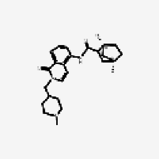 CN1CCC(Cn2ccc3c(NC(=O)C4C[C@@H]5CC[C@H]4C5)cccc3c2=O)CC1